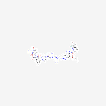 COc1cc2nn(CCNCCNCC(=O)N3CCN(c4cccc5c4C(=O)N(C4CCC(=O)NC4=O)C5=O)CC3)cc2cc1NC(=O)c1cccc(C(F)(F)F)n1